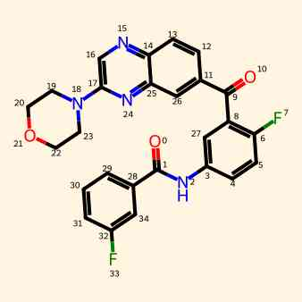 O=C(Nc1ccc(F)c(C(=O)c2ccc3ncc(N4CCOCC4)nc3c2)c1)c1cccc(F)c1